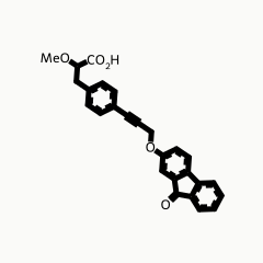 COC(Cc1ccc(C#CCOc2ccc3c(c2)C(=O)c2ccccc2-3)cc1)C(=O)O